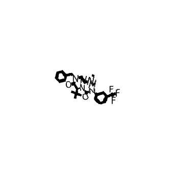 CN(C)CCN(Cc1ccccc1)C(=O)[C@@H](NC(=O)Nc1cccc(C(F)(F)F)c1)C(C)(C)C